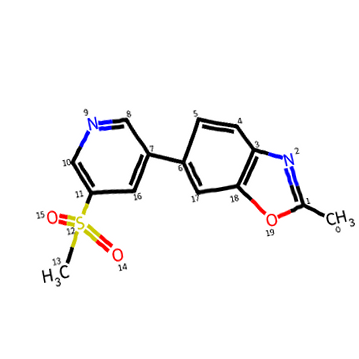 Cc1nc2ccc(-c3cncc(S(C)(=O)=O)c3)cc2o1